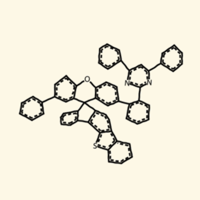 c1ccc(-c2ccc3c(c2)C2(c4cc(-c5ccccc5-c5nc(-c6ccccc6)cc(-c6ccccc6)n5)ccc4O3)c3ccccc3-c3c2ccc2c3sc3ccccc32)cc1